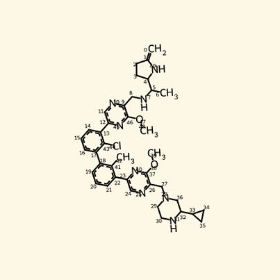 C=C1CCC(C(C)NCc2ncc(-c3cccc(-c4cccc(-c5cnc(CN6CCNC(C7CC7)C6)c(OC)n5)c4C)c3Cl)nc2OC)N1